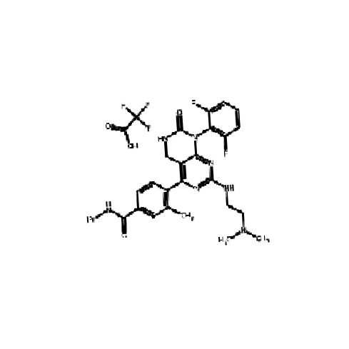 Cc1cc(C(=O)NC(C)C)ccc1-c1nc(NCCN(C)C)nc2c1CNC(=O)N2c1c(F)cccc1F.O=C(O)C(F)(F)F